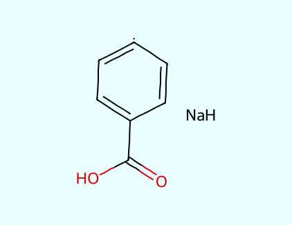 O=C(O)c1cc[c]cc1.[NaH]